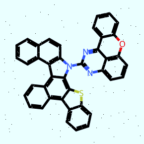 c1ccc2c(c1)Oc1cccc3nc(-n4c5ccc6ccccc6c5c5c6ccccc6c6c7ccccc7sc6c54)nc-2c13